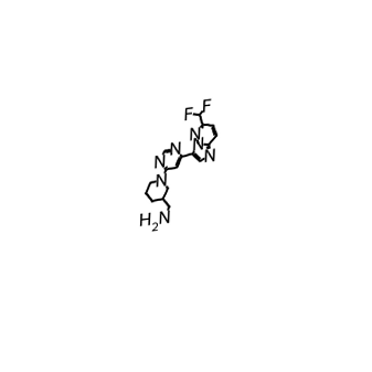 NCC1CCCN(c2cc(-c3cnc4ccc(C(F)F)nn34)ncn2)C1